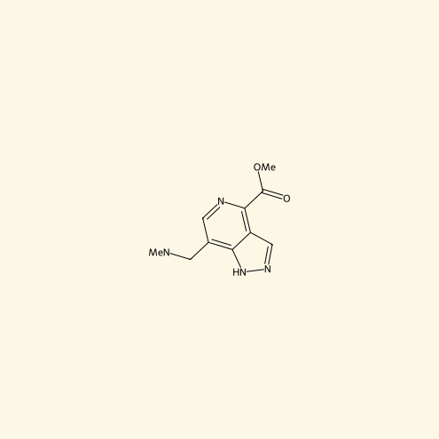 CNCc1cnc(C(=O)OC)c2cn[nH]c12